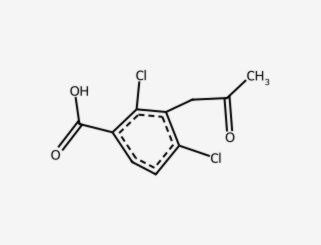 CC(=O)Cc1c(Cl)ccc(C(=O)O)c1Cl